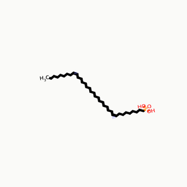 CCCCCCCC/C=C\CCCCCCCCCCCCCCCC/C=C\CCCCCCCCP(=O)(O)O